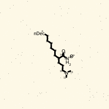 CCCCCCCCCCCCCCCCC(CCCN(C)C)C(=O)[NH2+][O-]